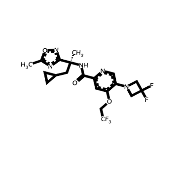 Cc1nc([C@](C)(CC2CC2)NC(=O)c2cc(OCC(F)(F)F)c(N3CC(F)(F)C3)cn2)no1